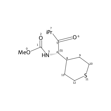 COC(=O)N[C@H](C(=O)C(C)C)C1CCSCC1